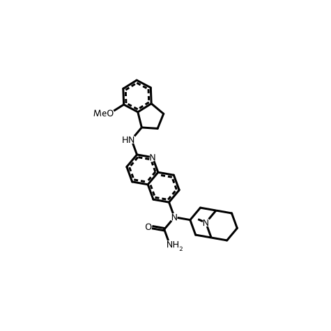 COc1cccc2c1C(Nc1ccc3cc(N(C(N)=O)C4CC5CCCC(C4)N5C)ccc3n1)CC2